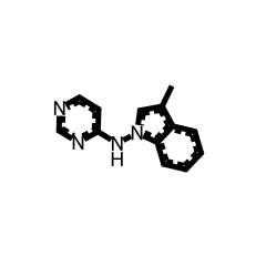 Cc1cn(Nc2ccncn2)c2ccccc12